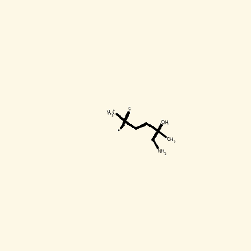 CC(F)(F)CCC(C)(O)CN